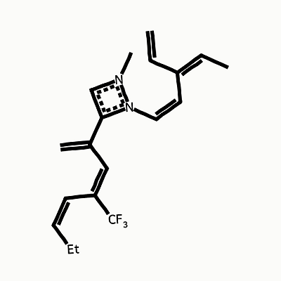 C=CC(/C=C\n1c(C(=C)/C=C(\C=C/CC)C(F)(F)F)cn1C)=C/C